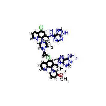 CC(Nc1ncnc2[nH]cnc12)c1cc(Cl)c2cccnc2c1N1CCN(C2CC2)CC1.COC1CCCN(c2c(C(C)n3cnc4c(N)ncnc43)cc(Cl)c3cccnc23)C1